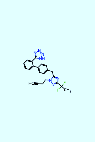 C#CCCn1nc(C(C)(F)F)nc1Cc1ccc(-c2ccccc2-c2nnn[nH]2)cc1